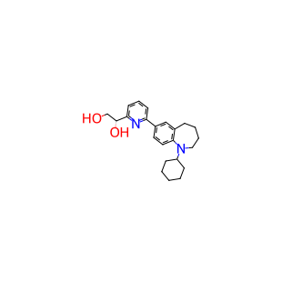 OC[C@@H](O)c1cccc(-c2ccc3c(c2)CCCCN3C2CCCCC2)n1